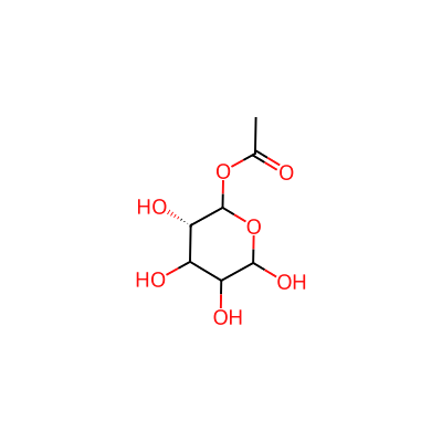 CC(=O)OC1OC(O)C(O)C(O)[C@@H]1O